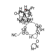 CC(C)C(=O)Nc1nc2c(nnn2[C@@H]2O[C@@H]3CO[P@@](=O)(S)O[C@H]4C[C@H](Oc5ccncn5)C[C@@H]4CO[P@@](=S)(OCCC#N)O[C@@H]2[C@@H]3O[Si](O[Si](O)(C(C)C)C(C)C)(C(C)C)C(C)C)c(=O)[nH]1